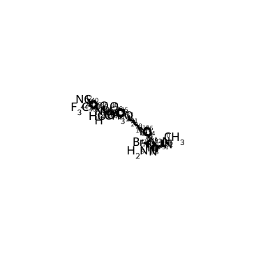 Cn1cc(-c2cnn3c(N)c(Br)c([C@@H]4CCCN(CCCCCOc5ccc(S(=O)(=O)C[C@](C)(O)C(=O)Nc6ccc(C#N)c(C(F)(F)F)c6)cc5)C4)nc23)cn1